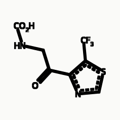 O=C(O)NCC(=O)c1ncsc1C(F)(F)F